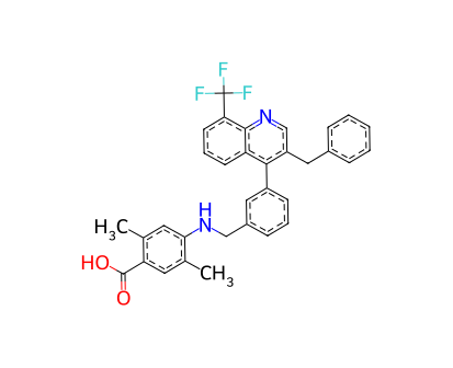 Cc1cc(C(=O)O)c(C)cc1NCc1cccc(-c2c(Cc3ccccc3)cnc3c(C(F)(F)F)cccc23)c1